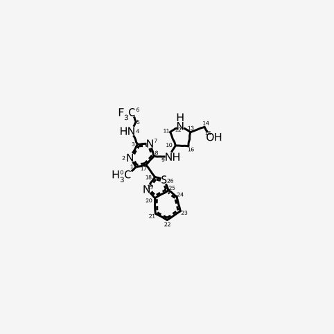 Cc1nc(NCC(F)(F)F)nc(NC2CNC(CO)C2)c1-c1nc2ccccc2s1